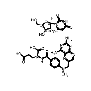 CN(Cc1cnc2nc(N)nc(N)c2n1)c1ccc(C(=O)N[C@@H](CCC(=O)O)C(=O)O)cc1.O=c1ccn([C@]2(F)O[C@H](CO)[C@@H](O)[C@H]2O)c(=O)[nH]1